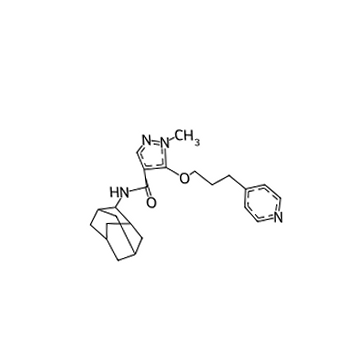 Cn1ncc(C(=O)NC2C3CC4CC(C3)CC2C4)c1OCCCc1ccncc1